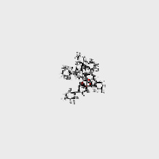 c1ccc(-c2ccc(-n3c4ccccc4c4cc(-c5cccc6c7ccccc7n(-c7nc(-c8ccccc8)nc(-c8ccccc8)n7)c56)ccc43)cc2)cc1